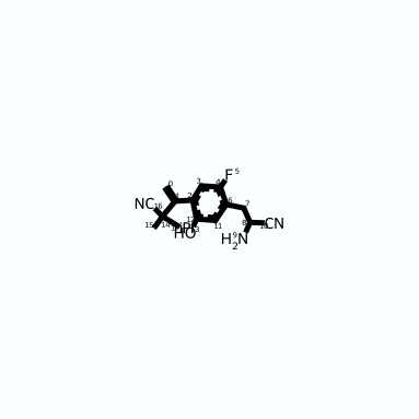 C=C(c1cc(F)c(CC(N)C#N)cc1O)C(C)(C#N)C(C)C